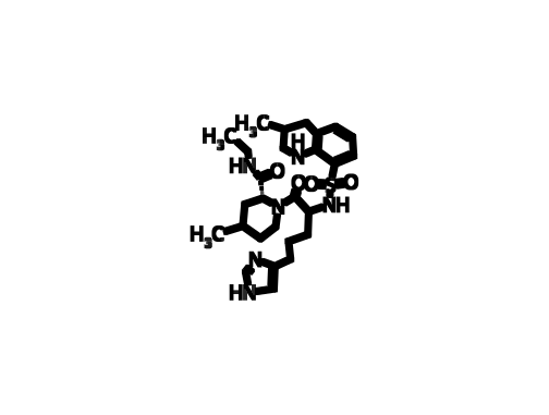 CCNC(=O)[C@H]1CC(C)CCN1C(=O)C(CCCc1c[nH]cn1)NS(=O)(=O)c1cccc2c1NCC(C)C2